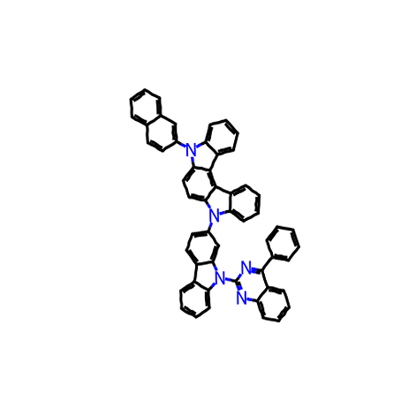 c1ccc(-c2nc(-n3c4ccccc4c4ccc(-n5c6ccccc6c6c7c8ccccc8n(-c8ccc9ccccc9c8)c7ccc65)cc43)nc3ccccc23)cc1